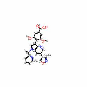 COc1cc(C(=O)O)cc(OC)c1-c1cn(C(C)c2ccccn2)c2cc(-c3c(C)noc3C)cnc12